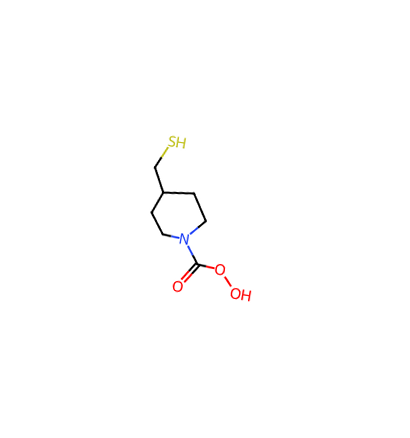 O=C(OO)N1CCC(CS)CC1